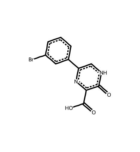 O=C(O)c1nc(-c2cccc(Br)c2)c[nH]c1=O